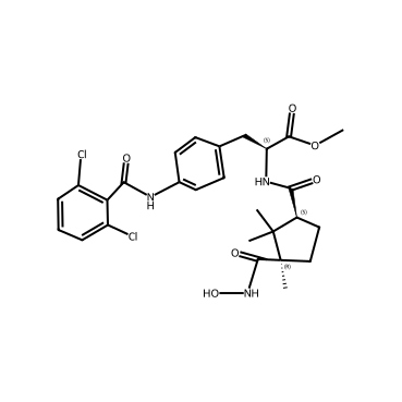 COC(=O)[C@H](Cc1ccc(NC(=O)c2c(Cl)cccc2Cl)cc1)NC(=O)[C@H]1CC[C@@](C)(C(=O)NO)C1(C)C